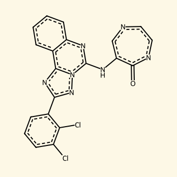 O=c1nccncc1Nc1nc2ccccc2c2nc(-c3cccc(Cl)c3Cl)nn12